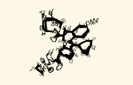 COC1=CC2C(C=C1)c1c(C3CCCCC3)c3ccc(C(=O)NS(=O)(=O)N4CCC4)cc3n1CC1(C(=O)N3C[C@@H]4C[C@H]3CN4C)CC21